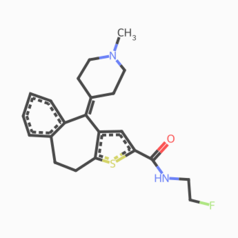 CN1CCC(=C2c3ccccc3CCc3sc(C(=O)NCCF)cc32)CC1